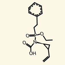 C=CC1C[C@@H]1N(C(=O)O)P(=O)(CCc1ccccc1)OCC